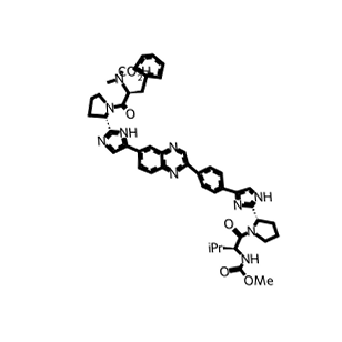 COC(=O)N[C@H](C(=O)N1CCC[C@H]1c1nc(-c2ccc(-c3cnc4cc(-c5cnc([C@@H]6CCCN6C(=O)[C@H](Cc6ccccc6)N(C)C(=O)O)[nH]5)ccc4n3)cc2)c[nH]1)C(C)C